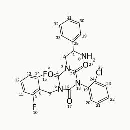 NC(Cn1c(=O)n(Cc2c(F)cccc2F)c(=O)n(-c2ccccc2Cl)c1=O)c1ccccc1